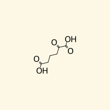 O=C(O)CCCC(=O)C(=O)O